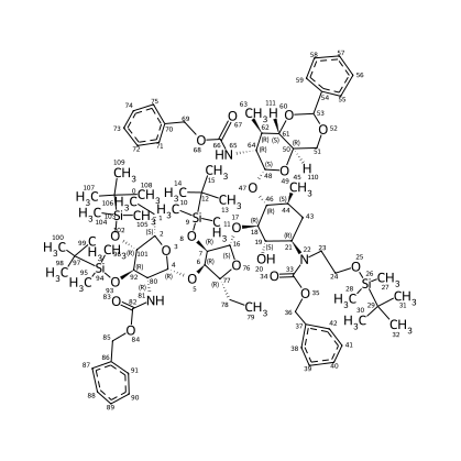 CC[C@@H]1O[C@H](O[C@H]2[C@@H](O[Si](C)(C)C(C)(C)C)[C@H](O[C@@H]3[C@@H](O)[C@H](N(CCO[Si](C)(C)C(C)(C)C)C(=O)OCc4ccccc4)C[C@H](C)[C@H]3O[C@H]3O[C@@H]4COC(c5ccccc5)O[C@H]4[C@H](C)[C@H]3NC(=O)OCc3ccccc3)O[C@@H]2CC)[C@H](NC(=O)OCc2ccccc2)[C@@H](O[Si](C)(C)C(C)(C)C)[C@@H]1O[Si](C)(C)C(C)(C)C